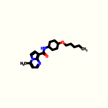 CCCCCOC1CCC(NC(=O)c2ccn3c(C)ccnc23)CC1